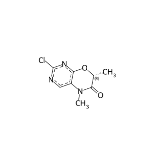 C[C@H]1Oc2nc(Cl)ncc2N(C)C1=O